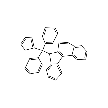 C1=CCC(C(c2ccccc2)(c2ccccc2)C2c3ccccc3-c3c2ccc2ccccc32)=C1